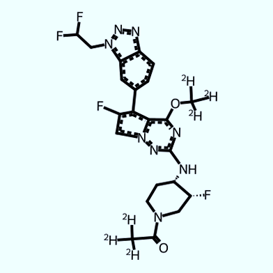 [2H]C([2H])([2H])Oc1nc(N[C@H]2CCN(C(=O)C([2H])([2H])[2H])C[C@H]2F)nn2cc(F)c(-c3ccc4nnn(CC(F)F)c4c3)c12